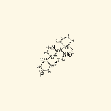 Cc1cccc(C)c1-c1c2nccc(-c3ccc(F)cc3F)c2cc[n+]1[O-]